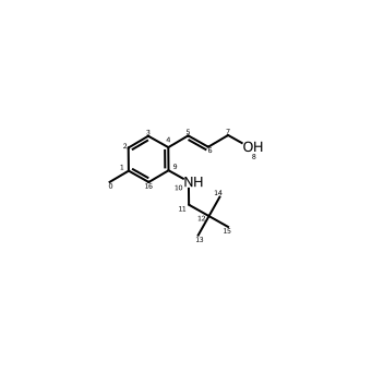 Cc1ccc(/C=C/CO)c(NCC(C)(C)C)c1